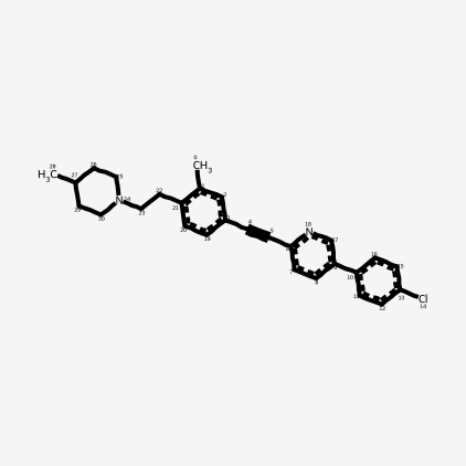 Cc1cc(C#Cc2ccc(-c3ccc(Cl)cc3)cn2)ccc1CCN1CCC(C)CC1